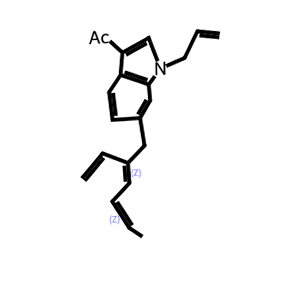 C=CCn1cc(C(C)=O)c2ccc(C/C(C=C)=C/C=C\C)cc21